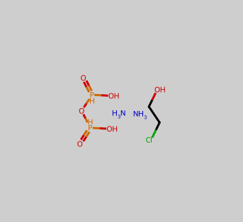 N.N.O=[PH](O)O[PH](=O)O.OCCCl